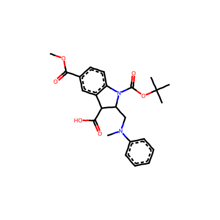 COC(=O)c1ccc2c(c1)C(C(=O)O)C(CN(C)c1ccccc1)N2C(=O)OC(C)(C)C